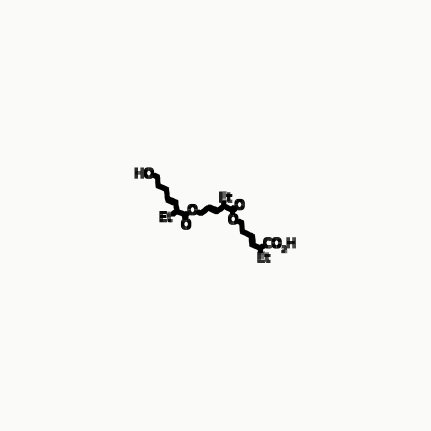 CCC(C=CCCOC(=O)C(C=CCOC(=O)C(C=CCCCO)CC)CC)C(=O)O